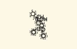 CN(Cc1ccccc1)[C@@H]1CCc2c(ccc(OCc3ccccc3)c2OCc2ccccc2)[C@H]1O